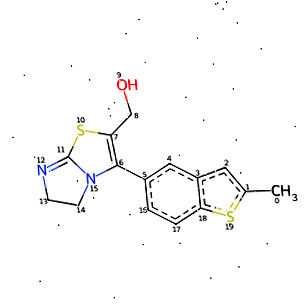 Cc1cc2cc(C3=C(CO)SC4=NCCN43)ccc2s1